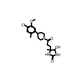 COc1cc(C2CCN(C(=O)CCC3(C)NC(=O)NC3O)CC2)c(C)cc1Cl